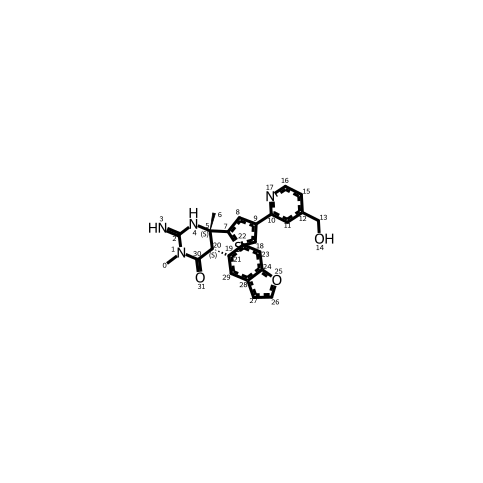 CN1C(=N)N[C@](C)(c2cc(-c3cc(CO)ccn3)cs2)[C@H](c2ccc3occc3c2)C1=O